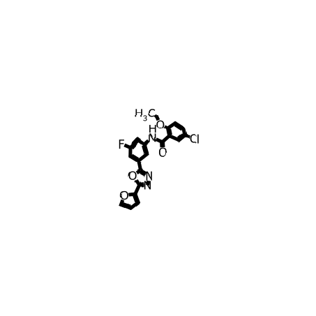 CCOc1ccc(Cl)cc1C(=O)Nc1cc(F)cc(-c2nnc(-c3ccco3)o2)c1